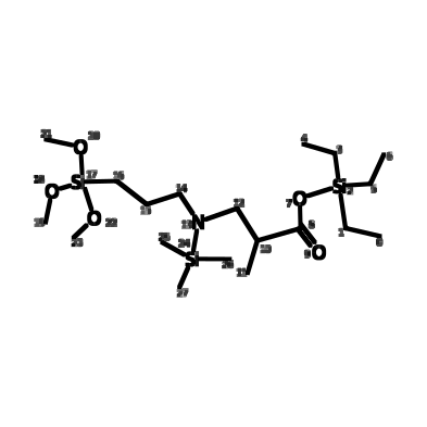 CC[Si](CC)(CC)OC(=O)C(C)CN(CCC[Si](OC)(OC)OC)[Si](C)(C)C